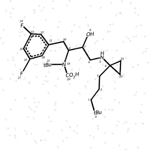 CC(C)(C)CCCC1(NCC(O)C(Cc2cc(F)cc(F)c2)N(C(=O)O)C(C)(C)C)CC1